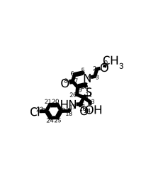 COCCn1ccc(=O)c2c1SC(CO)(C(=O)NCc1ccc(Cl)cc1)C2